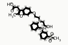 Cc1oc2cc(OCCN(CCO)c3ccccc3Nc3cccc(S(C)(=O)=O)c3)ccc2c1CC(=O)O